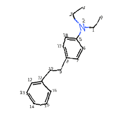 CCN(CC)c1ccc(CCc2c[c]ccc2)cc1